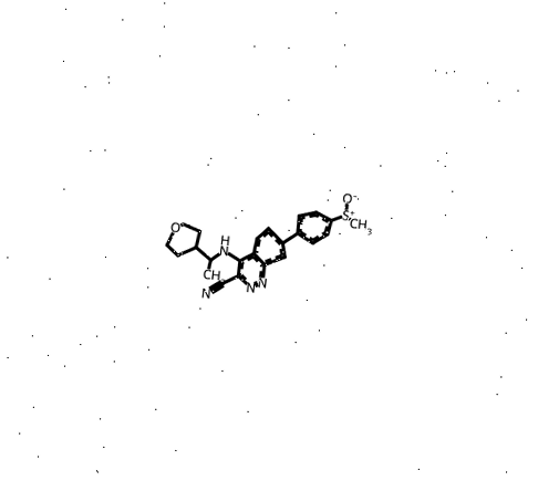 CC(Nc1c(C#N)nnc2cc(-c3ccc([S+](C)[O-])cc3)ccc12)C1CCOCC1